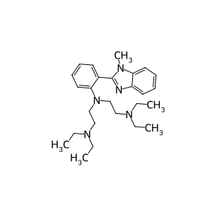 CCN(CC)CCN(CCN(CC)CC)c1ccccc1-c1nc2ccccc2n1C